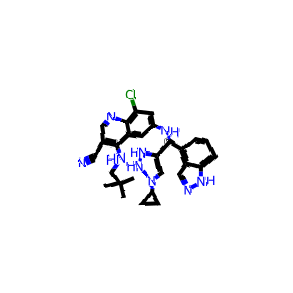 CC(C)(C)CNc1c(C#N)cnc2c(Cl)cc(N[C@H](C3=CN(C4CC4)NN3)c3cccc4[nH]ncc34)cc12